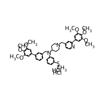 COc1cc(-c2cccc(CN(c3cccc(SC)c3)C3CCN(Cc4ccnc(-c5cc(OC)c(OC)c(OC)c5)c4)CC3)c2)cc(OC)c1OC.Cl.Cl